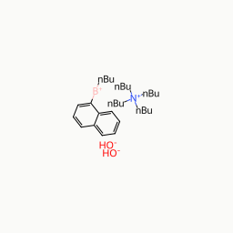 CCCC[B+]c1cccc2ccccc12.CCCC[N+](CCCC)(CCCC)CCCC.[OH-].[OH-]